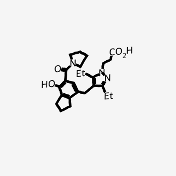 CCc1nn(CCC(=O)O)c(CC)c1Cc1cc(C(=O)N2CCCC2)c(O)c2c1CCC2